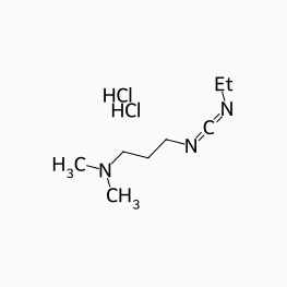 CCN=C=NCCCN(C)C.Cl.Cl